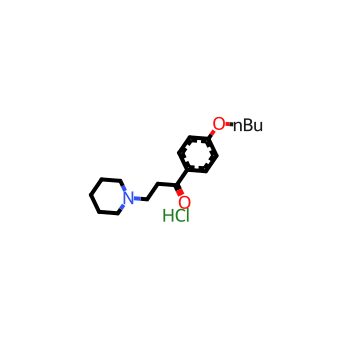 CCCCOc1ccc(C(=O)CCN2CCCCC2)cc1.Cl